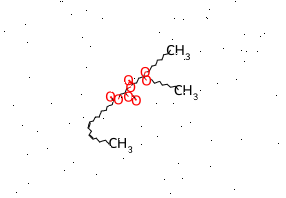 CCCCC/C=C\C/C=C\CCCCCCCC(=O)OCC(COC(=O)CCC(OCCCCCCCC)OCCCCCCCC)OC=O